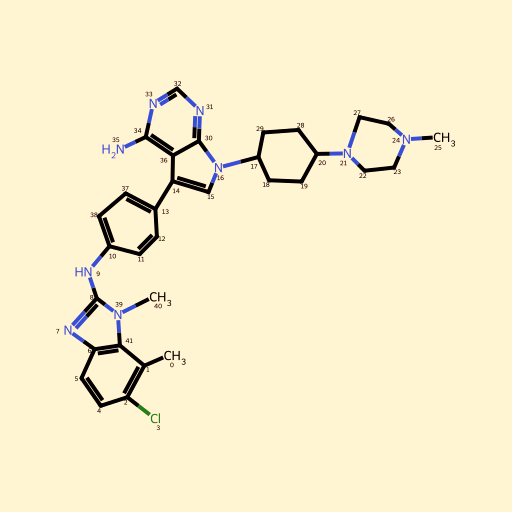 Cc1c(Cl)ccc2nc(Nc3ccc(-c4cn(C5CCC(N6CCN(C)CC6)CC5)c5ncnc(N)c45)cc3)n(C)c12